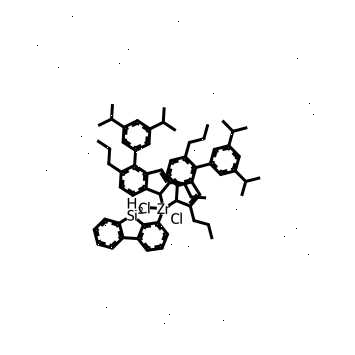 CCCC1=Cc2c(ccc(CCC)c2-c2cc(C(C)C)cc(C(C)C)c2)[CH]1[Zr]([Cl])([Cl])([c]1cccc2c1[SiH2]c1ccccc1-2)[CH]1C(CCC)=Cc2c1ccc(CCC)c2-c1cc(C(C)C)cc(C(C)C)c1